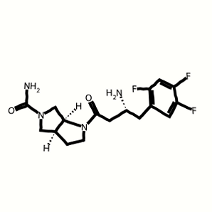 NC(=O)N1C[C@@H]2CCN(C(=O)C[C@H](N)Cc3cc(F)c(F)cc3F)[C@@H]2C1